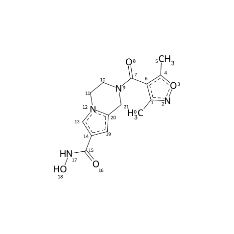 Cc1noc(C)c1C(=O)N1CCn2cc(C(=O)NO)cc2C1